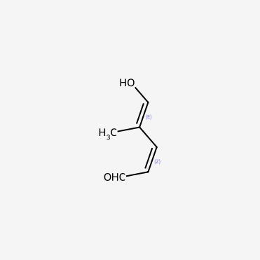 CC(/C=C\C=O)=C\O